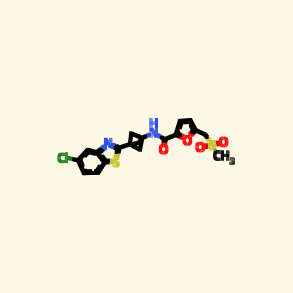 CS(=O)(=O)Cc1ccc(C(=O)NC23CC(c4nc5cc(Cl)ccc5s4)(C2)C3)o1